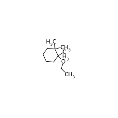 CCOC1(C)CCCCC1(C)C